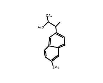 CSc1ccc2cc(C(C)C(OC(C)=O)OC(C)=O)ccc2c1